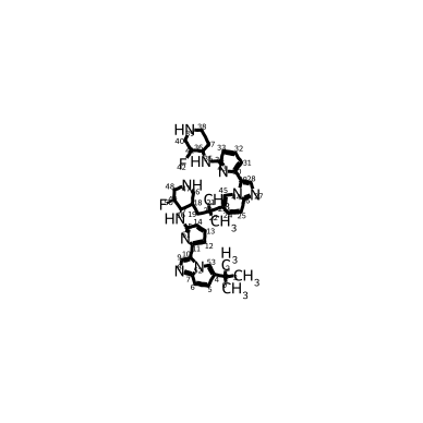 CC(C)(C)c1ccc2ncc(-c3cccc(N[C@H]4C(CC(C)(C)c5ccc6ncc(-c7cccc(NC8CCNCC8F)n7)n6c5)CNC[C@@H]4F)n3)n2c1